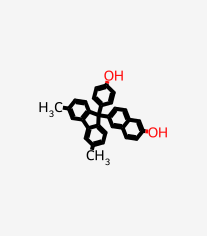 Cc1ccc2c(c1)-c1cc(C)ccc1C2(c1ccc(O)cc1)c1ccc2cc(O)ccc2c1